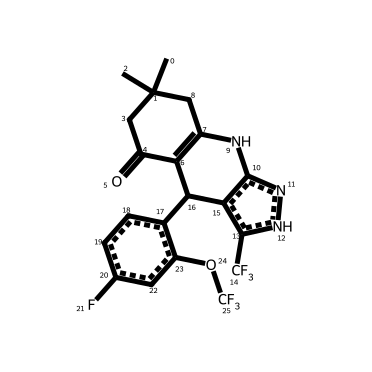 CC1(C)CC(=O)C2=C(C1)Nc1n[nH]c(C(F)(F)F)c1C2c1ccc(F)cc1OC(F)(F)F